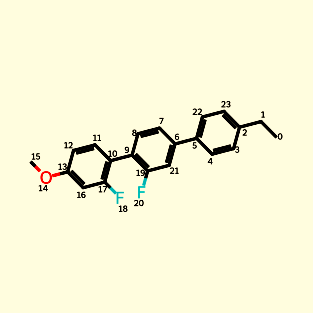 CCc1ccc(-c2ccc(-c3ccc(OC)cc3F)c(F)c2)cc1